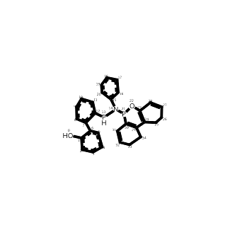 Oc1ccccc1-c1ccccc1PN(c1ccccc1)P1OC2=C(CCC=C2)C2=C1C=CCC2